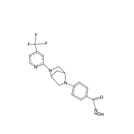 O=C(NO)c1ccc(N2CC3CC2CN3c2cc(C(F)(F)F)ccn2)cc1